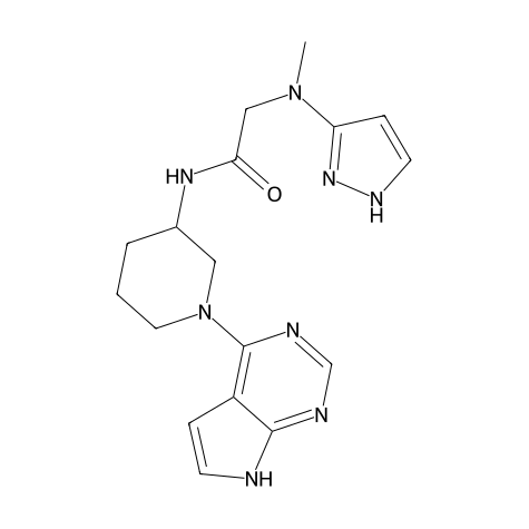 CN(CC(=O)NC1CCCN(c2ncnc3[nH]ccc23)C1)c1cc[nH]n1